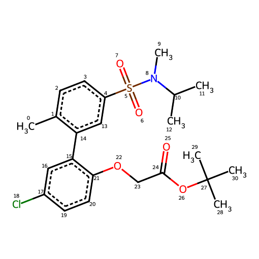 Cc1ccc(S(=O)(=O)N(C)C(C)C)cc1-c1cc(Cl)ccc1OCC(=O)OC(C)(C)C